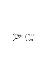 C[C@@H](O)CNC(CO)CO